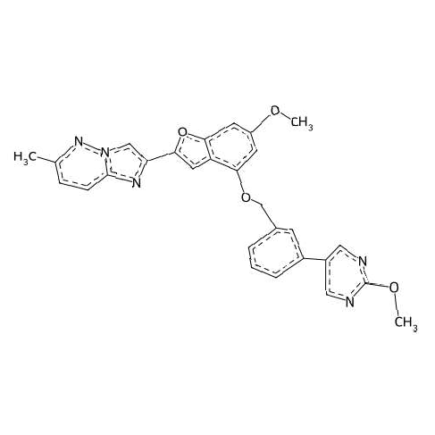 COc1cc(OCc2cccc(-c3cnc(OC)nc3)c2)c2cc(-c3cn4nc(C)ccc4n3)oc2c1